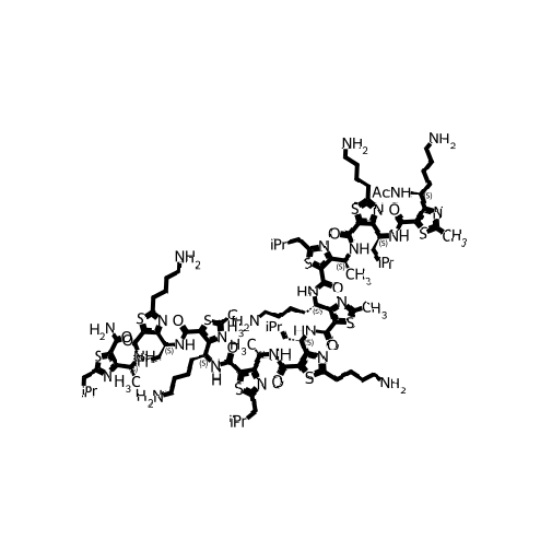 CC(=O)N[C@@H](CCCCN)c1nc(C)sc1C(=O)N[C@@H](CC(C)C)c1nc(CCCCN)sc1C(=O)N[C@@H](C)c1nc(CC(C)C)sc1C(=O)N[C@@H](CCCCN)c1nc(C)sc1C(=O)N[C@@H](CC(C)C)c1nc(CCCCN)sc1C(=O)N[C@@H](C)c1nc(CC(C)C)sc1C(=O)N[C@@H](CCCCN)c1nc(C)sc1C(=O)N[C@@H](CC(C)C)c1nc(CCCCN)sc1C(=O)N[C@@H](C)c1nc(CC(C)C)sc1C(N)=O